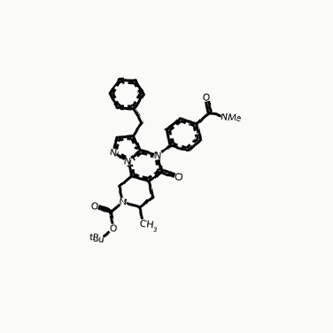 CNC(=O)c1ccc(-n2c(=O)c3c(n4ncc(Cc5ccccc5)c24)CN(C(=O)OC(C)(C)C)C(C)C3)cc1